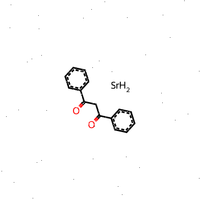 O=C(CC(=O)c1ccccc1)c1ccccc1.[SrH2]